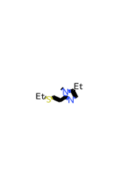 CCSC=Cc1ncc(CC)n1C